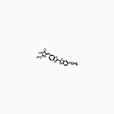 CCSC1=N/C(=C\c2ccc3nc(-c4nc5ccc(NCC6CC6)cc5s4)sc3c2)C(=O)N1